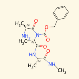 CCNC(=O)[C@H](C)NC(=O)[C@H](C)N(C(=O)OCc1ccccc1)C(=O)[C@H](C)N